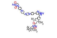 CC1=CC(c2n[nH]c3ncc(-c4ccc(N5CCN(CC6CCN(c7ccc(N8CCC(=O)NC8=O)cc7)CC6)CC5)cc4)cc23)=CCC1[C@@H](C)CCC(=O)c1noc(C(C)(C)C)n1